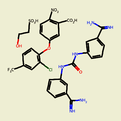 N=C(N)c1cccc(NC(=O)Nc2cccc(C(=N)N)c2)c1.O=C(O)c1cc(Oc2ccc(C(F)(F)F)cc2Cl)ccc1[N+](=O)[O-].O=S(=O)(O)CCO